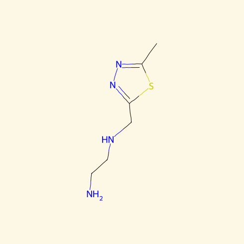 Cc1nnc(CNCCN)s1